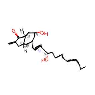 C=C1C[C@H]2[C@H](/C=C/[C@@H](O)CCCCCCC)[C@H](O)C[C@@H]2C1=O